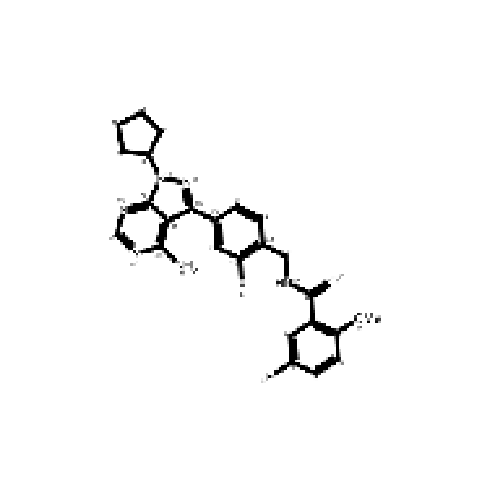 COc1ccc(F)cc1C(=O)NCc1ccc(-c2nn(C3CCCC3)c3ncnc(N)c23)cc1F